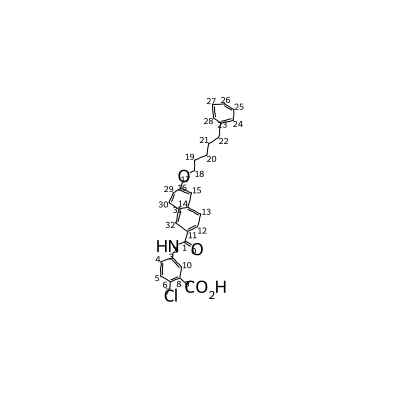 O=C(Nc1ccc(Cl)c(C(=O)O)c1)c1ccc2cc(OCCCCCc3ccccc3)ccc2c1